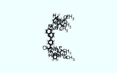 COC(=O)N[C@H](C(=O)N1[C@@H]2CC[C@@H](C2)[C@H]1c1nc(Cl)c(-c2ccc(-c3ccc4c(ccc5nc([C@@H]6C[C@H]7C[C@H]7N6C(=O)[C@@H](NC(=O)OC)C(C)C)[nH]c54)c3)cc2)[nH]1)C(C)C